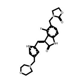 O=C1Nc2ccc(CN3CCOC3=O)c(F)c2C1=Cc1cc(CN2CCOCC2)c[nH]1